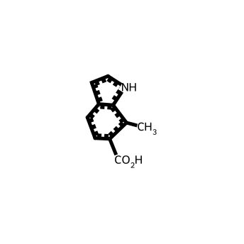 Cc1c(C(=O)O)ccc2cc[nH]c12